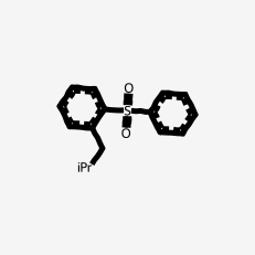 CC(C)Cc1ccccc1S(=O)(=O)c1ccccc1